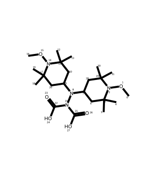 CON1C(C)(C)CC(N(C2CC(C)(C)N(OC)C(C)(C)C2)N(C(=O)O)C(=O)O)CC1(C)C